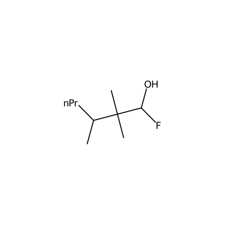 CCCC(C)C(C)(C)C(O)F